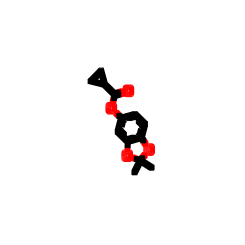 CC1(C)Oc2ccc(OC(=O)C3CC3)cc2O1